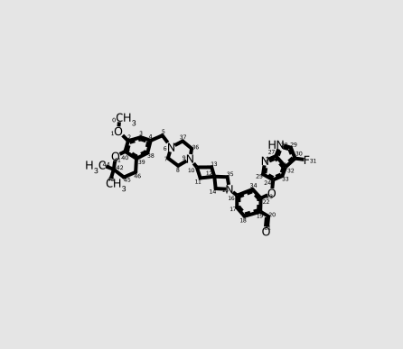 COc1cc(CN2CCN(C3CC4(C3)CN(c3ccc(C=O)c(Oc5cnc6[nH]cc(F)c6c5)c3)C4)CC2)cc2c1OC(C)(C)CC2